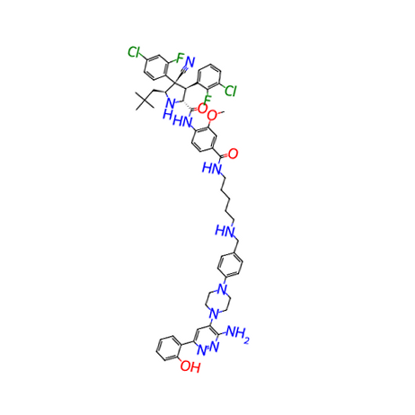 COc1cc(C(=O)NCCCCCNCc2ccc(N3CCN(c4cc(-c5ccccc5O)nnc4N)CC3)cc2)ccc1NC(=O)[C@@H]1N[C@@H](CC(C)(C)C)[C@](C#N)(c2ccc(Cl)cc2F)[C@H]1c1cccc(Cl)c1F